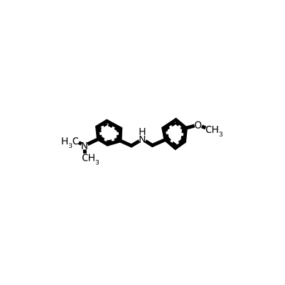 COc1ccc(CNCc2cccc(N(C)C)c2)cc1